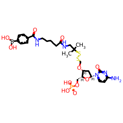 CC(C)(CNC(=O)CCCCNC(=O)c1ccc(B(O)O)cc1)SSCO[C@@H]1C[C@H](n2ccc(N)nc2=O)O[C@@H]1COP(=O)(O)O